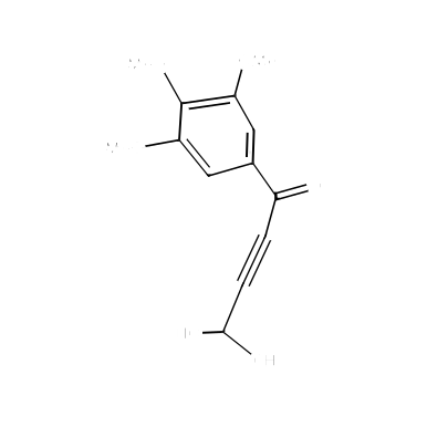 COc1cc(C(=O)C#CC(C)O)cc(OC)c1OC